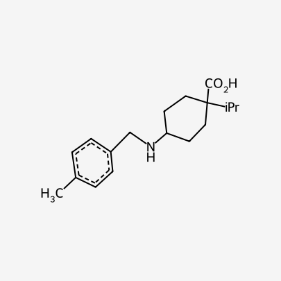 Cc1ccc(CNC2CCC(C(=O)O)(C(C)C)CC2)cc1